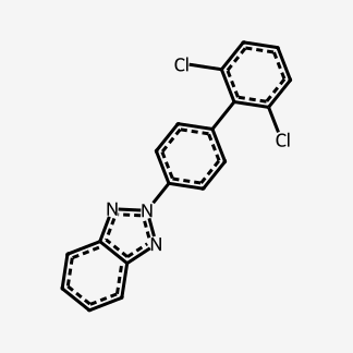 Clc1cccc(Cl)c1-c1ccc(-n2nc3ccccc3n2)cc1